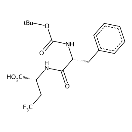 CC(C)(C)OC(=O)N[C@H](Cc1ccccc1)C(=O)N[C@H](CC(F)(F)F)C(=O)O